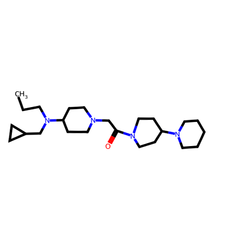 CCCN(CC1CC1)C1CCN(CC(=O)N2CCC(N3CCCCC3)CC2)CC1